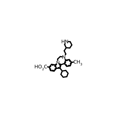 Cc1ccc2c(c1)N(CCC1CCCNC1)CCn1c-2c(C2CCCCC2)c2ccc(C(=O)O)cc21